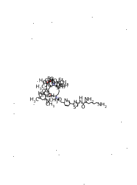 CCC(=O)/N=C1\[C@H](C)C[C@@]2(C)OC/C(=N/OCc3ccc(-c4nc(NC(=O)[C@@H](N)CCCCN)cs4)cn3)CC[C@H]([C@H]1C)[C@](C)(O)[C@@H](CC)OC(=O)[C@@](C)(F)C(=O)C(C)[C@H]2O[C@@H]1O[C@H](C)C[C@H](N(C)C)[C@H]1O